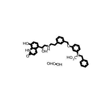 O=C(O)N(Cc1ccccc1)c1cccc(OCc2cccc(CCNC[C@H](O)c3ccc(O)c4[nH]c(=O)ccc34)c2)c1.O=CO